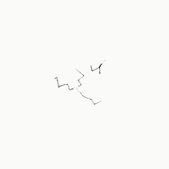 CCCCN(CCCC)CCCC.O=C(O)CCl